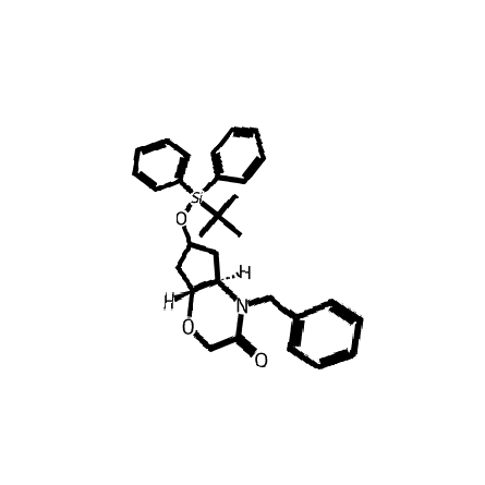 CC(C)(C)[Si](OC1C[C@@H]2[C@@H](C1)OCC(=O)N2Cc1ccccc1)(c1ccccc1)c1ccccc1